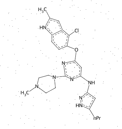 CCCc1cc(Nc2cc(Oc3ccc4[nH]c(C)cc4c3Cl)nc(N3CCN(C)CC3)n2)n[nH]1